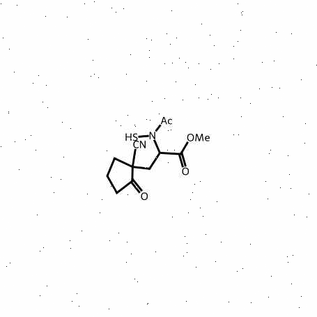 COC(=O)C(CC1(C#N)CCCC1=O)N(S)C(C)=O